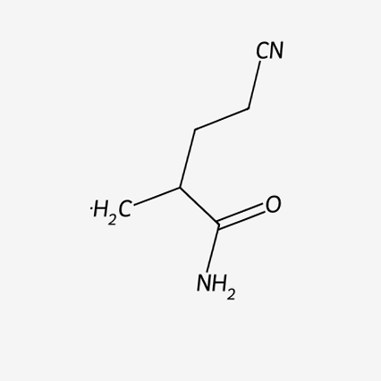 [CH2]C(CCC#N)C(N)=O